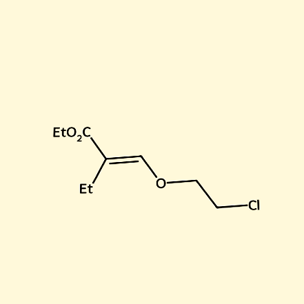 CCOC(=O)C(=COCCCl)CC